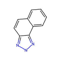 c1ccc2c3c(ccc2c1)=N[N]N=3